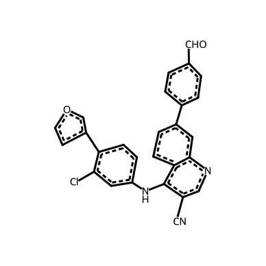 N#Cc1cnc2cc(-c3ccc(C=O)cc3)ccc2c1Nc1ccc(-c2ccoc2)c(Cl)c1